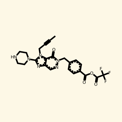 CC#CCn1c(N2CCNCC2)nc2cnn(Cc3ccc(C(=O)OC(=O)C(F)(F)F)cc3)c(=O)c21